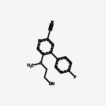 CN(CCO)c1cnc(C#N)cc1-c1ccc(F)cc1